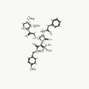 CCCCP(CCCC)(CCCC)=C(C(=O)OCc1ccc(OC)cc1)N1C(=O)[C@@H](NC(=O)Cc2ccccc2)[C@H]1SCC(=O)[C@H]1OC[C@H](OC)[C@@H]1OC